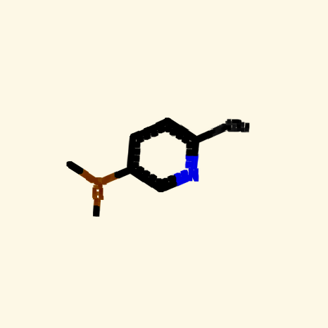 C[SH](C)c1ccc(C(C)(C)C)nc1